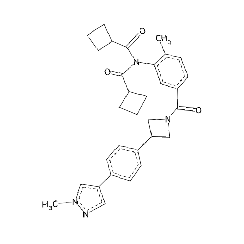 Cc1ccc(C(=O)N2CC(c3ccc(-c4cnn(C)c4)cc3)C2)cc1N(C(=O)C1CCC1)C(=O)C1CCC1